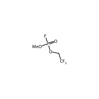 COP(=O)(F)OCC(F)(F)F